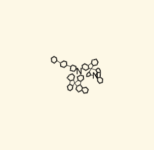 c1ccc(-c2ccc(-c3ccc(N(c4ccc5c(c4)C4(c6ccccc6-c6ccccc64)c4ccc6ccccc6c4-5)c4ccc5c(c4)C4(c6ccccc6-5)c5ccccc5-n5c6ccccc6c6cccc4c65)cc3)cc2)cc1